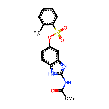 COC(=O)Nc1nc2cc(OS(=O)(=O)c3ccccc3C(F)(F)F)ccc2[nH]1